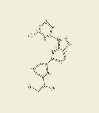 C/C=C(/C)c1cccc(-c2ccc3cnn(-c4cccc(C)n4)c3c2)n1